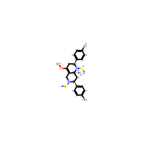 CCOC1=C2CN(SI)[C@H](c3ccc(CC)cc3)C[C@@H]2N(SI)[C@H](c2ccc(CC)cc2)C1